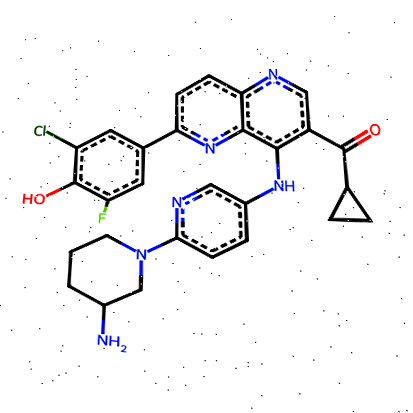 NC1CCCN(c2ccc(Nc3c(C(=O)C4CC4)cnc4ccc(-c5cc(F)c(O)c(Cl)c5)nc34)cn2)C1